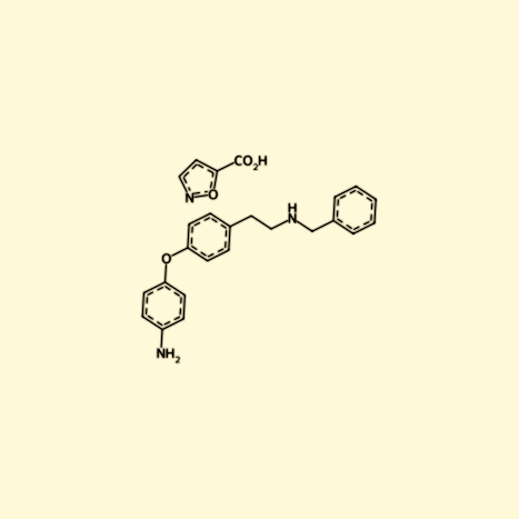 Nc1ccc(Oc2ccc(CCNCc3ccccc3)cc2)cc1.O=C(O)c1ccno1